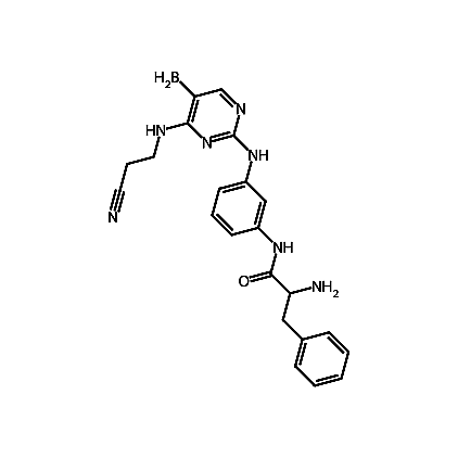 Bc1cnc(Nc2cccc(NC(=O)C(N)Cc3ccccc3)c2)nc1NCCC#N